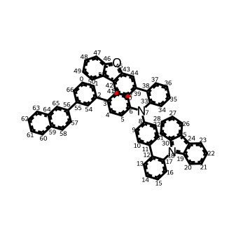 c1cc(-c2ccc(N(c3ccc(-c4ccccc4-n4c5ccccc5c5ccccc54)cc3)c3ccccc3-c3ccc4c(c3)oc3ccccc34)cc2)cc(-c2ccc3ccccc3c2)c1